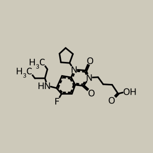 CCC(CC)Nc1cc2c(cc1F)c(=O)n(CCCC(=O)O)c(=O)n2C1CCCC1